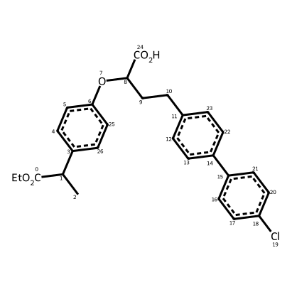 CCOC(=O)C(C)c1ccc(OC(CCc2ccc(-c3ccc(Cl)cc3)cc2)C(=O)O)cc1